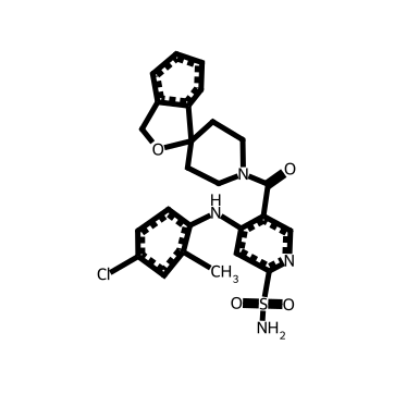 Cc1cc(Cl)ccc1Nc1cc(S(N)(=O)=O)ncc1C(=O)N1CCC2(CC1)OCc1ccccc12